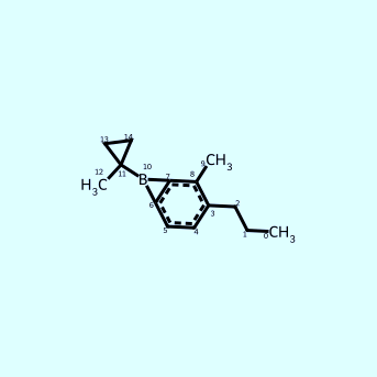 CCCc1ccc2c(c1C)B2C1(C)CC1